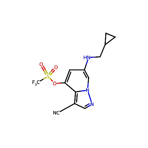 N#Cc1cnn2cc(NCC3CC3)cc(OS(=O)(=O)C(F)(F)F)c12